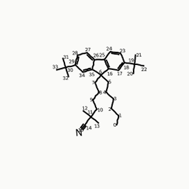 CCCCCCC1(CCCCC(C)(C)C#N)c2cc(C(C)(C)C)ccc2-c2ccc(C(C)(C)C)cc21